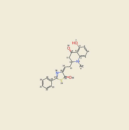 CC(=O)N1c2cccc(O)c2C(=O)CC1C/C=C1/N=C(c2ccccc2)SC1=O